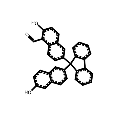 O=Cc1c(O)ccc2cc(C3(c4ccc5cc(O)ccc5c4)c4ccccc4-c4ccccc43)ccc12